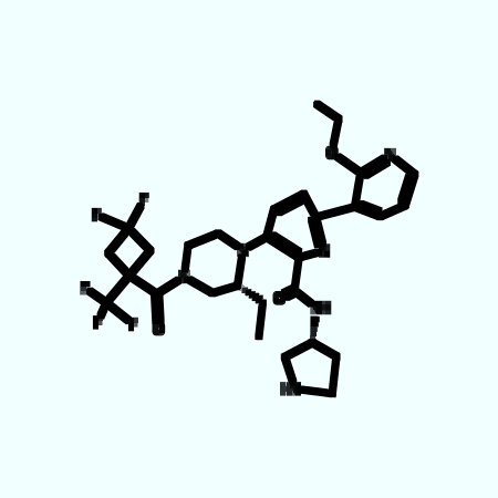 CCOc1ncccc1-c1ccc(N2CCN(C(=O)C3(C(F)(F)F)CC(F)(F)C3)C[C@H]2CC)c(C(=O)N[C@@H]2CCNC2)n1